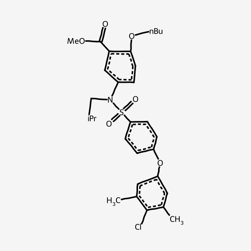 CCCCOc1ccc(N(CC(C)C)S(=O)(=O)c2ccc(Oc3cc(C)c(Cl)c(C)c3)cc2)cc1C(=O)OC